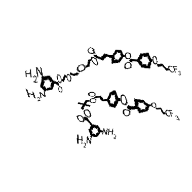 CC(C)(COC(=O)C=Cc1ccc(OC(=O)c2ccc(OCCCC(F)(F)F)cc2)cc1)COC(=O)c1cc(N)cc(N)c1.Nc1cc(N)cc(C(=O)OCCOCCOCCOC(=O)C=Cc2ccc(OC(=O)c3ccc(OCCCC(F)(F)F)cc3)cc2)c1